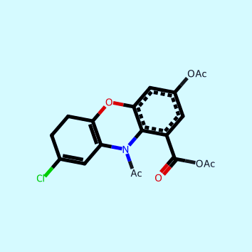 CC(=O)OC(=O)c1cc(OC(C)=O)cc2c1N(C(C)=O)C1=C(CCC(Cl)=C1)O2